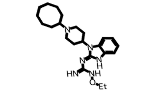 CCONC(=N)/N=c1\[nH]c2ccccc2n1C1CCN(C2CCCCCCC2)CC1